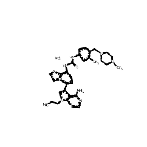 CN1CCN(Cc2ccc(NC(=O)Nc3ccc(-c4cn(CCO)c5ncnc(N)c45)n4ccnc34)cc2C(F)(F)F)CC1.Cl